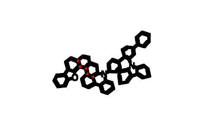 c1ccc(-c2cccc(-c3ccccc3N(c3ccc(-c4ccc(-c5ccccc5)cc4-n4c5ccccc5c5ccccc54)cc3)c3ccc(-c4cccc5c4oc4ccccc45)cc3)c2)cc1